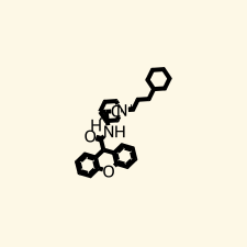 O=C(N[C@@H]1C[N+]2(CCCC3CCCCC3)CCC1CC2)C1c2ccccc2Oc2ccccc21